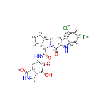 O=C1NCCC1CC(NC(=O)C1C2CCCC2CN1C(=O)c1cc2c(Cl)cc(F)cc2[nH]1)C(=O)CO